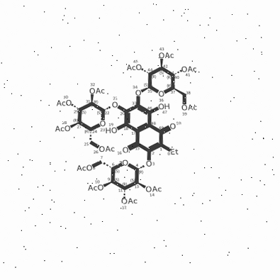 CCC1=C(O[C@H]2O[C@@H](COC(C)=O)[C@H](OC(C)=O)[C@@H](OC(C)=O)[C@@H]2OC(C)=O)C(=O)c2c(O)c(O[C@@H]3O[C@H](COC(C)=O)[C@@H](OC(C)=O)[C@H](OC(C)=O)[C@H]3OC(C)=O)c(O[C@@H]3O[C@H](COC(C)=O)[C@@H](OC(C)=O)[C@H](OC(C)=O)[C@H]3OC(C)=O)c(O)c2C1=O